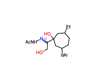 CCCC1CCC(CC)CC(O)(/C(CO)=N/NC(C)=O)C1